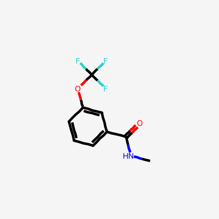 CNC(=O)c1cccc(OC(F)(F)F)c1